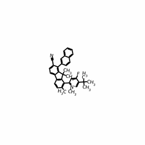 Cc1ccc2c(c1-c1cc(F)c(C(C)(C)C)c[n+]1C)C(C)(C)c1c-2ccc(C#N)c1-c1ccc2ccccc2c1